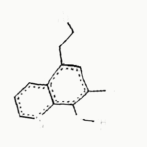 COc1c(F)cc(CCO)c2cccnc12